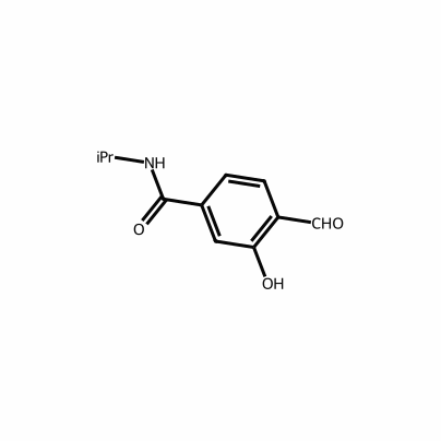 CC(C)NC(=O)c1ccc(C=O)c(O)c1